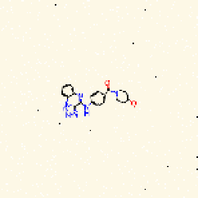 COC1CCN(C(=O)c2ccc(Nc3nc4ccccc4n4nnnc34)cc2)CC1